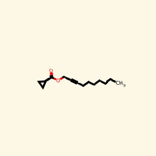 CCCCCCCC#CCOC(=O)C1CC1